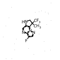 CC1(C(F)(F)F)CNc2cnc3c(F)cnn3c21